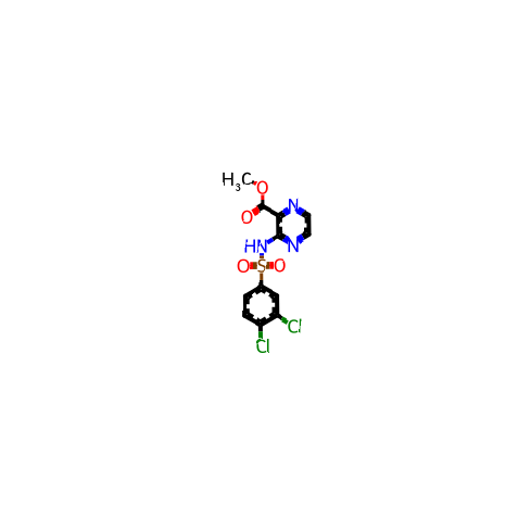 COC(=O)c1nccnc1NS(=O)(=O)c1ccc(Cl)c(Cl)c1